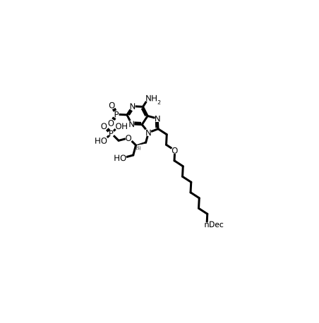 CCCCCCCCCCCCCCCCCCOCCc1nc2c(N)nc(P(=O)=O)nc2n1C[C@@H](CO)OCP(=O)(O)O